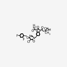 CC(C)(O)CC(=O)n1c(=O)n(C(N)=O)c2cc(Cn3cnc(OCc4ccc(F)cc4F)c(Cl)c3=O)ccc21